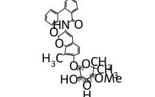 CO[C@@H]1[C@@H](O)[C@@H](O)[C@H](Oc2ccc3cc(NC(=O)c4ccccc4-c4ccccc4)c(=O)oc3c2C)OC1(C)C